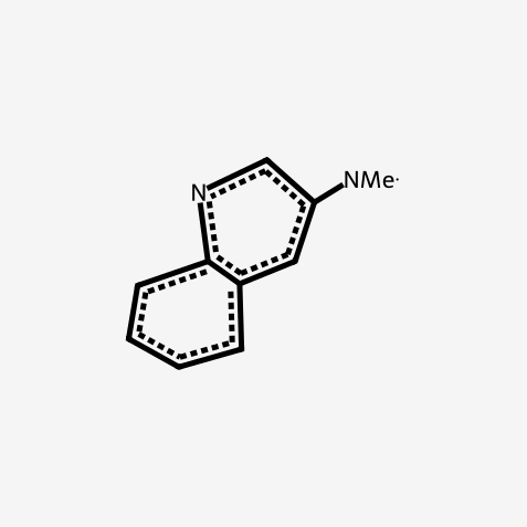 C[N]c1cnc2ccccc2c1